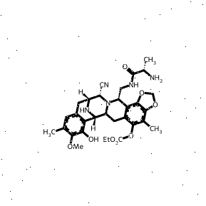 CCOC(=O)Oc1c(C)c2c(c3c1CC1[C@H]4N[C@H](Cc5cc(C)c(OC)c(O)c54)[C@H](C#N)N1[C@H]3CNC(=O)[C@H](C)N)OCO2